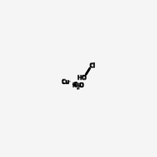 O.OCl.[Cu].[Cu]